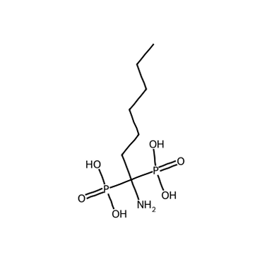 CCCCCCC(N)(P(=O)(O)O)P(=O)(O)O